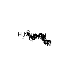 NC(=O)CNC(=O)c1ccc(-c2ccc3nnn(Cc4ccc5ncccc5c4)c3n2)cc1F